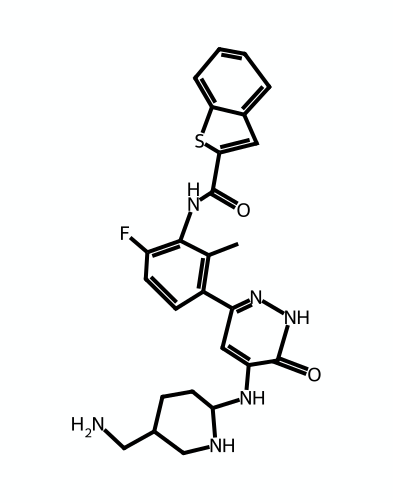 Cc1c(-c2cc(NC3CCC(CN)CN3)c(=O)[nH]n2)ccc(F)c1NC(=O)c1cc2ccccc2s1